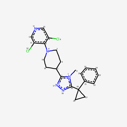 Cn1c(C2CCN(c3c(Cl)cncc3Cl)CC2)nnc1C1(c2ccccc2)CC1